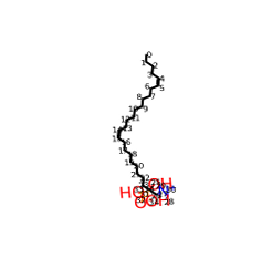 CCCC/C=C\CCCCCCCC/C=C\CCCCCCCCC(O)(C[N+](C)(C)C)P(=O)(O)O